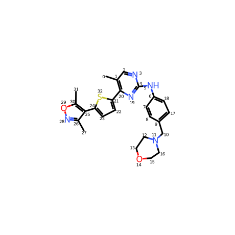 Cc1cnc(Nc2ccc(CN3CCOCC3)cc2)nc1-c1ccc(-c2c(C)noc2C)s1